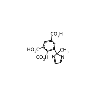 CC1(c2cc(C(=O)O)cc(C(=O)O)c2C(=O)O)N=CC=N1